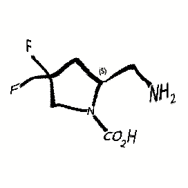 NC[C@@H]1CC(F)(F)CN1C(=O)O